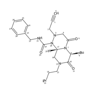 C#CCN1CC(=O)N2[C@@H](CCCC)C(=O)N(CCC(C)C)C[C@@H]2N1C(=O)NCc1ccccc1